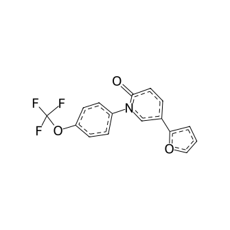 O=c1ccc(-c2ccco2)cn1-c1ccc(OC(F)(F)F)cc1